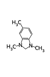 Cc1ccc2c(c1)N(C)CN2C